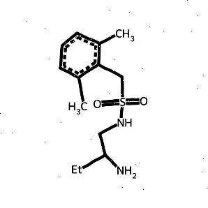 CCC(N)CNS(=O)(=O)Cc1c(C)cccc1C